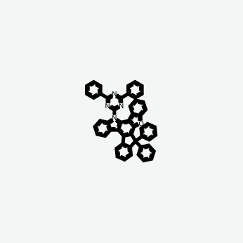 c1ccc(-c2nc(-c3ccccc3)nc(-n3c4ccccc4c4c5c(c6oc7ccccc7c6c43)C(c3ccccc3)(c3ccccc3)c3ccccc3-5)n2)cc1